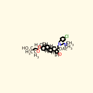 CC(=O)O[C@@H](CN(CCN(C)C)Cc1ccc(Cl)cc1)[C@@]12CC[C@]3(C)[C@H](CC[C@H]4[C@H]3CC[C@H]3C(C)(C)[C@@H](OC(=O)CC(C)(C)C(=O)O)CC[C@]43C)C1=C(C(C)C)C(=O)C2